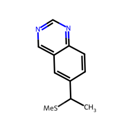 CSC(C)c1ccc2ncncc2c1